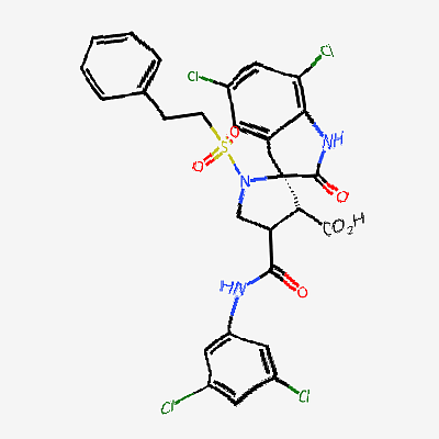 O=C(Nc1cc(Cl)cc(Cl)c1)C1CN(S(=O)(=O)CCc2ccccc2)[C@@]2(C(=O)Nc3c(Cl)cc(Cl)cc32)C1C(=O)O